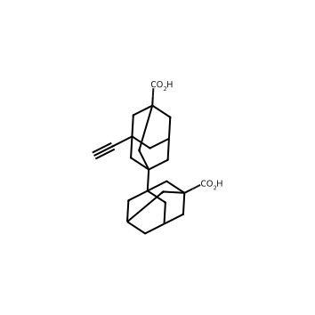 C#CC12CC3CC(C(=O)O)(C1)CC(C14CC5CC(CC(C(=O)O)(C5)C1)C4)(C3)C2